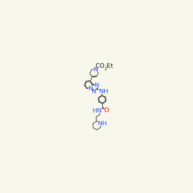 CCOC(=O)N1CC=C(c2cccn3nc(Nc4ccc(C(=O)NCCC5CCCCN5)cc4)nc23)CC1